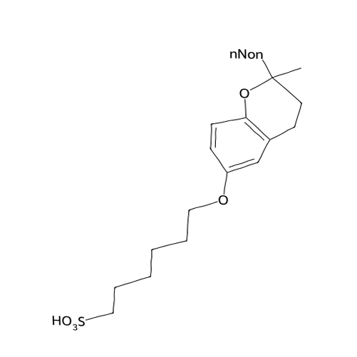 CCCCCCCCCC1(C)CCc2cc(OCCCCCCS(=O)(=O)O)ccc2O1